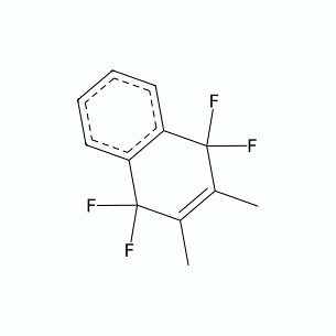 CC1=C(C)C(F)(F)c2ccccc2C1(F)F